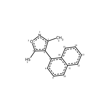 Cc1noc(S)c1-c1cccc2ccccc12